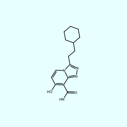 [NH]C(=O)c1c(O)ccn2c(CCC3CCCCC3)nnc12